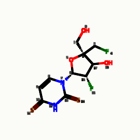 OC[C@@]1(CF)O[C@@H](n2ccc(=S)[nH]c2=S)[C@@H](F)C1O